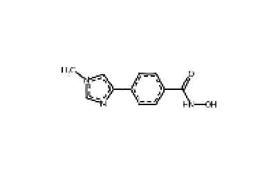 Cn1cnc(-c2ccc(C(=O)NO)cc2)c1